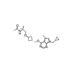 CC(=O)N[C@@H](C)CO[C@H]1C[C@H](COc2ncnc3c2c(C)cn3CC2CC2)C1